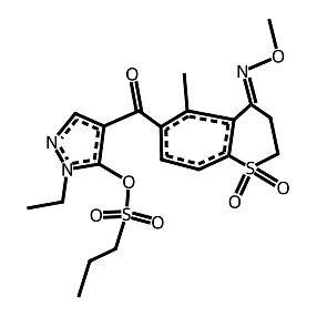 CCCS(=O)(=O)Oc1c(C(=O)c2ccc3c(c2C)/C(=N/OC)CCS3(=O)=O)cnn1CC